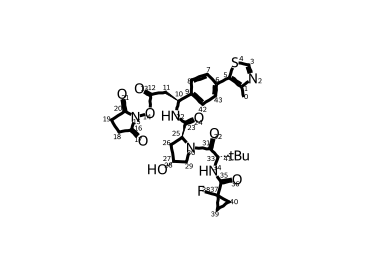 Cc1ncsc1-c1ccc([C@H](CC(=O)ON2C(=O)CCC2=O)NC(=O)[C@@H]2C[C@@H](O)CN2C(=O)[C@@H](NC(=O)C2(F)CC2)C(C)(C)C)cc1